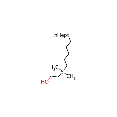 CCCCCCCCCCCC[Si](C)(C)CCO